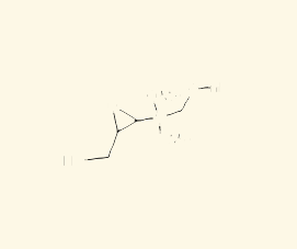 CCCOC[Si](OC)(OC)C1OC1CO